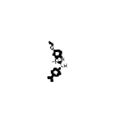 CCOc1ccc2nc(Nc3ccc(C(C)C)cc3)[nH]c2c1